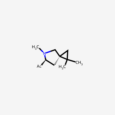 CC(=O)[C@@H]1C[C@]2(CN1C)CC2(C)C